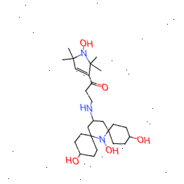 CC1(C)C=C(C(=O)CCNC2CC3(CCC(O)CC3)N(O)C3(CCC(O)CC3)C2)C(C)(C)N1O